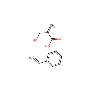 C=C(CO)C(=O)O.C=Cc1ccccc1